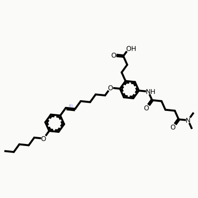 CCCCCOc1ccc(/C=C/CCCCOc2ccc(NC(=O)CCCC(=O)N(C)C)cc2CCC(=O)O)cc1